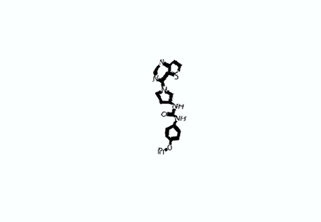 CC(C)Oc1ccc(NC(=O)NC2CCN(c3ncnc4ccsc34)C2)cc1